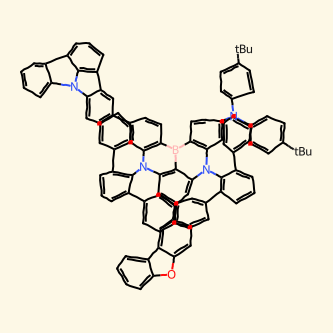 CC(C)(C)c1ccc(N(c2ccc(C(C)(C)C)cc2)c2ccc3c(c2)N(c2c(-c4ccccc4)cccc2-c2ccccc2)c2cc(-c4ccc5oc6ccccc6c5c4)cc4c2B3c2ccc(-c3ccc5c(c3)c3cccc6c7ccccc7n5c63)cc2N4c2c(-c3ccccc3)cccc2-c2ccccc2)cc1